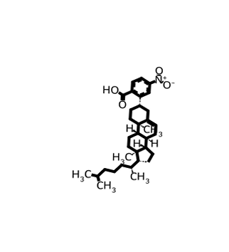 CC(C)CCC[C@@H](C)[C@H]1CC[C@H]2[C@@H]3CC=C4C[C@@H](c5cc([N+](=O)[O-])ccc5C(=O)O)CC[C@]4(C)[C@H]3CC[C@]12C